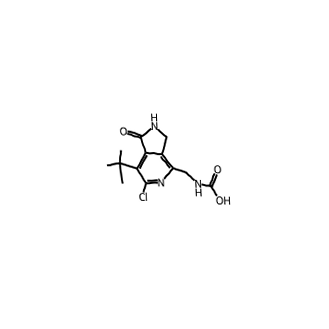 CC(C)(C)c1c(Cl)nc(CNC(=O)O)c2c1C(=O)NC2